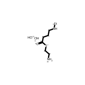 CCNCCCC(=O)SCCN.Cl.Cl